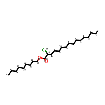 CCCCCCCCCCCCCCC(Cl)C(=O)OCCCCCCCCC